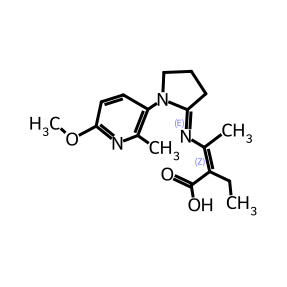 CC/C(C(=O)O)=C(C)/N=C1\CCCN1c1ccc(OC)nc1C